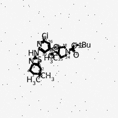 CC1(C)CCc2nc(Nc3cc(S(=O)(=O)C4(C)CCN(C(=O)OC(C)(C)C)CC4)cc(Cl)n3)sc2C1